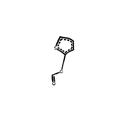 O=COc1cccs1